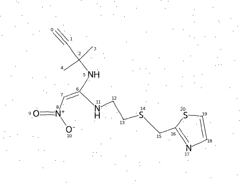 C#CC(C)(C)NC(=C[N+](=O)[O-])NCCSCc1nccs1